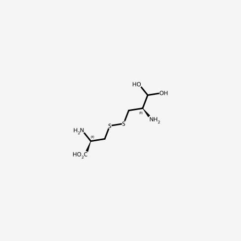 N[C@@H](CSSC[C@H](N)C(O)O)C(=O)O